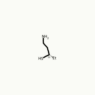 CC[C@H](S)CCN